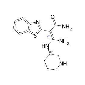 NC(=O)/C(=C(\N)N[C@@H]1CCCNC1)c1nc2ccccc2s1